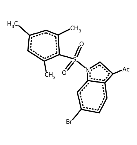 CC(=O)c1cn(S(=O)(=O)c2c(C)cc(C)cc2C)c2cc(Br)ccc12